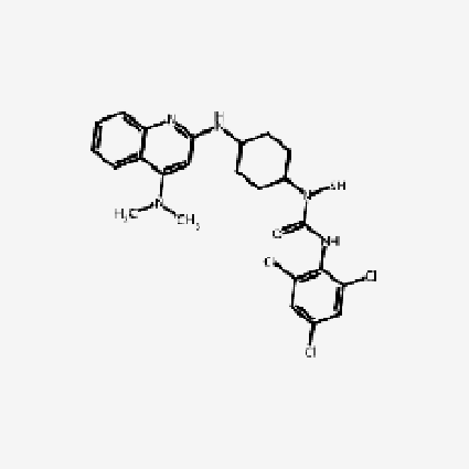 CN(C)c1cc(NC2CCC(N(S)C(=O)Nc3c(Cl)cc(Cl)cc3Cl)CC2)nc2ccccc12